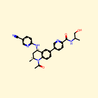 CC(=O)N1c2ccc(-c3ccc(C(=O)NC(C)CO)nc3)cc2[C@H](Nc2ccc(C#N)cn2)C[C@@H]1C